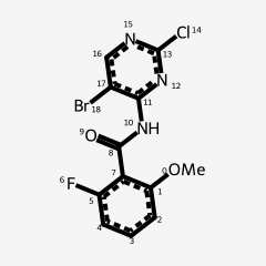 COc1cccc(F)c1C(=O)Nc1nc(Cl)ncc1Br